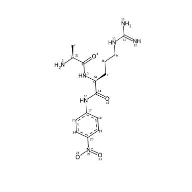 C[C@H](N)C(=O)N[C@@H](CCCNC(=N)N)C(=O)Nc1ccc([N+](=O)[O-])cc1